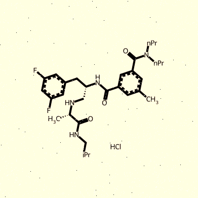 CCCN(CCC)C(=O)c1cc(C)cc(C(=O)N[C@H](CN[C@@H](C)C(=O)NCC(C)C)Cc2cc(F)cc(F)c2)c1.Cl